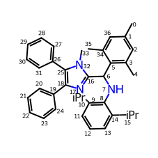 Cc1cc(C)c(C(Nc2c(C(C)C)cccc2C(C)C)c2nc(-c3ccccc3)c(-c3ccccc3)n2C)c(C)c1